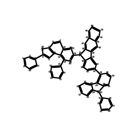 c1ccc(-c2cc3c(ccc4nc(-n5c6ccc(-c7cccc8c7c7ccccc7n8-c7ccccc7)cc6c6cc7ccccc7cc65)nc(-c5ccccc5)c43)s2)cc1